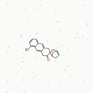 CCc1cccc2cc3c(cc12)CC(=O)C1(CC2=CCC1C2)C3